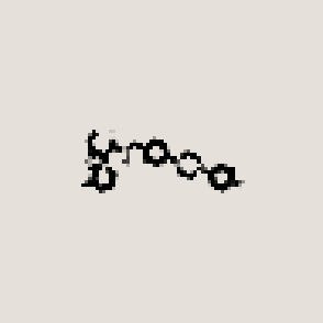 CCc1nc2c(Cl)cccn2c1C(=O)NCc1ccc(N2CCN(c3ccc(Cl)cc3)CC2)cc1